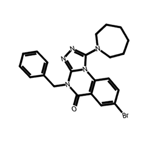 O=c1c2cc(Br)ccc2n2c(N3CCCCCC3)nnc2n1Cc1ccccc1